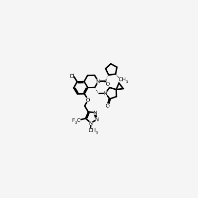 C[C@H]1CCC[C@H]1C(=O)N1CCc2c(Cl)ccc(OCc3nnn(C)c3C(F)(F)F)c2[C@H]1CN1CC2(CC2)CC1=O